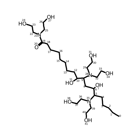 CCCCCC(C(O)CC(C(O)CCCCCCCC(=O)N(CCO)CCO)N(CCO)CCO)N(CCO)CCO